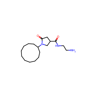 NCCNC(=O)C1CC(=O)N(C2CCCCCCCCCC2)C1